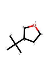 CC(C)(C)C1CCOC1